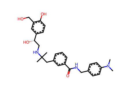 CN(C)c1ccc(CNC(=O)c2cccc(CC(C)(C)NC[C@H](O)c3ccc(O)c(CO)c3)c2)cc1